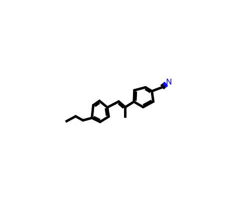 CCCc1ccc(/C=C(\C)c2ccc(C#N)cc2)cc1